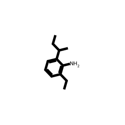 CCc1cccc(C(C)CC)c1N